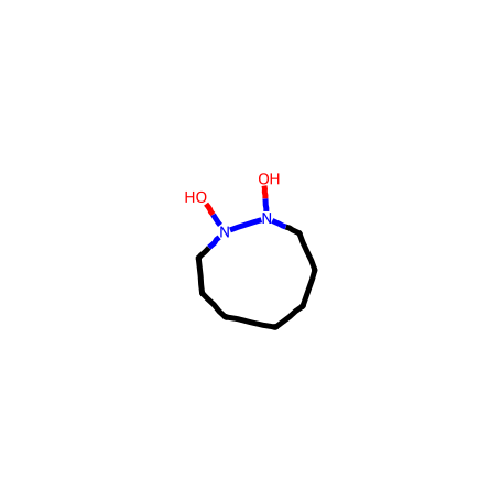 ON1CCCCCCCN1O